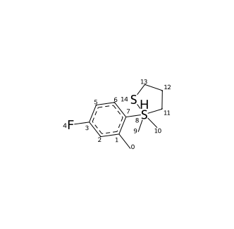 Cc1cc(F)ccc1[SH]1(C)(C)CCCS1